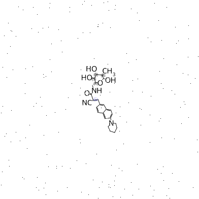 C[C@H]1C(O)O[C@H](CNC(=O)/C(C#N)=C/c2ccc3cc(N4CCCCC4)ccc3c2)[C@@H](O)[C@@H]1O